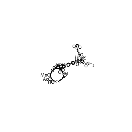 CO[C@H]1/C=C/O[C@@]2(C)Oc3c(C)c(O)c4c(=O)c(c5oc6cc(N7CCC(c8ccc(NC(=O)[C@H](CCCNC(N)=O)NC(=O)C(NC(=O)CCCCCN9C(=O)C=CC9=O)C(C)C)cc8)CC7)cc(O)c6nc-5c4c3C2=O)NC(=O)/C(C)=C\C=C\[C@H](C)C[C@@H](C)[C@@H](O)[C@@H](C)[C@H](OC(C)=O)[C@@H]1C